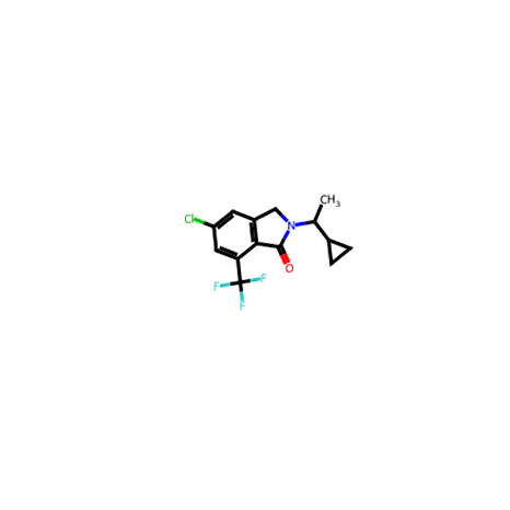 CC(C1CC1)N1Cc2cc(Cl)cc(C(F)(F)F)c2C1=O